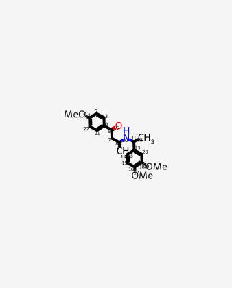 COc1ccc(C(=O)CC(C)NC(C)c2ccc(OC)c(OC)c2)cc1